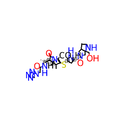 CC1C(S[C@@H]2CN[C@H](C(=O)N3CC4CCNC4(CO)C3)C2)=C(C(=O)O)N2C(=O)[C@H]([C@@H](C)NC(=O)Cn3cnnn3)[C@@H]12